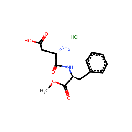 COC(=O)[C@H](Cc1ccccc1)NC(=O)[C@@H](N)CC(=O)O.Cl